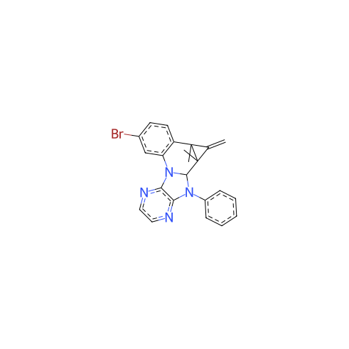 C=C1C2(C)c3ccc(Br)cc3N3c4nccnc4N(c4ccccc4)C3C12C